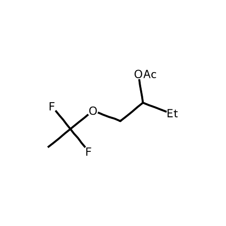 CCC(COC(C)(F)F)OC(C)=O